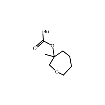 CCC(C)C(=O)OC1(C)CCCCCC1